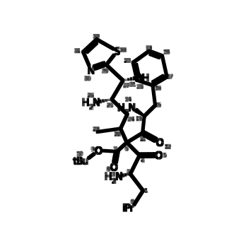 CC(C)C[C@H](N)C(=O)C(C(=O)OC(C)(C)C)(C(=O)[C@@H](N)Cc1ccccc1)C(C)C[C@H](N)[C@@H](O)c1nccs1